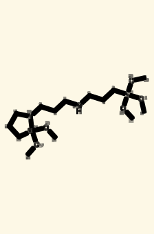 CO[Si](CCC[SiH]CCCN1CCC[Si]1(OC)OC)(OC)OC